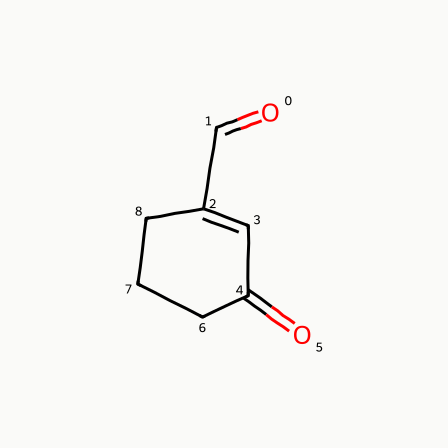 O=CC1=CC(=O)CCC1